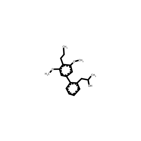 CCCc1c(OC)cc(-c2ccccc2CC(C)O)cc1OC